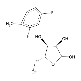 Cc1ccc(F)cc1F.OC[C@H]1OC(O)[C@H](O)[C@@H]1O